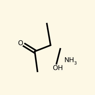 CCC(C)=O.CO.N